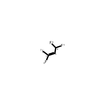 FC(I)=CC(F)F